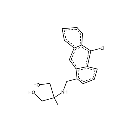 CC(CO)(CO)NCc1cccc2c(Cl)c3ccccc3cc12